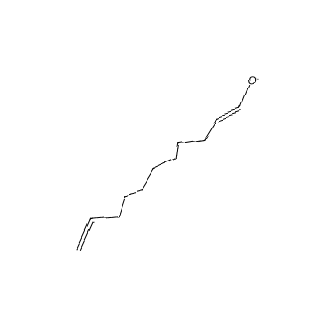 C=CCCCCCCCC=C[O]